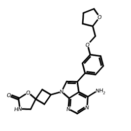 Nc1ncnc2c1c(-c1cccc(OCC3CCCO3)c1)cn2C1CC2(CNC(=O)O2)C1